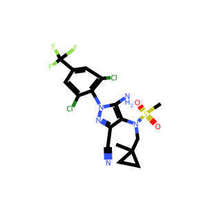 CC1(CN(c2c(C#N)nn(-c3c(Cl)cc(C(F)(F)F)cc3Cl)c2N)S(C)(=O)=O)CC1